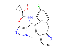 COC1(C(=O)N[C@H](C2=Cc3cccnc3Cc3ccc(Cl)cc32)c2cncn2C)CC1